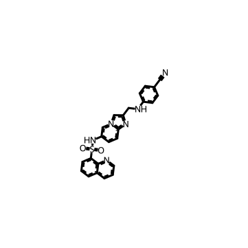 N#Cc1ccc(NCc2cn3cc(NS(=O)(=O)c4cccc5cccnc45)ccc3n2)cc1